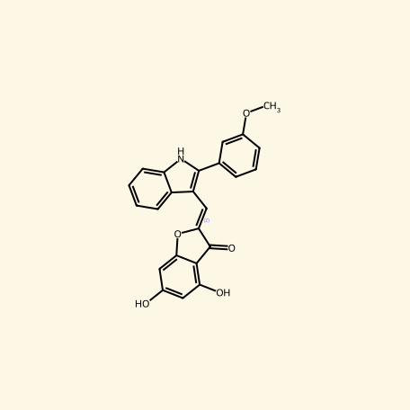 COc1cccc(-c2[nH]c3ccccc3c2/C=C2\Oc3cc(O)cc(O)c3C2=O)c1